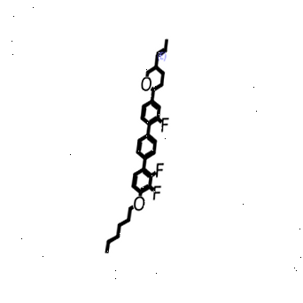 C/C=C/C1CCC(c2ccc(-c3ccc(-c4ccc(OCCCCCC)c(F)c4F)cc3)c(F)c2)OC1